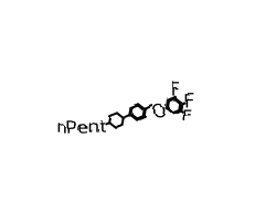 CCCCCC1CCC(c2ccc(COc3cc(F)c(F)c(F)c3)cc2)CC1